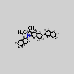 Cc1c(C)n(-c2ccc3ccccc3c2)c2cc3ccc(-c4ccc5ccccc5c4)cc3cc12